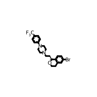 FC(F)(F)c1ccc(N2CCN(CC[C@@H]3OCCc4cc(Br)ccc43)CC2)cc1